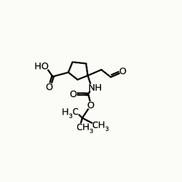 CC(C)(C)OC(=O)NC1(CC=O)CCC(C(=O)O)C1